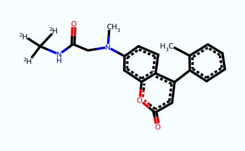 [2H]C([2H])([2H])NC(=O)CN(C)c1ccc2c(-c3ccccc3C)cc(=O)oc2c1